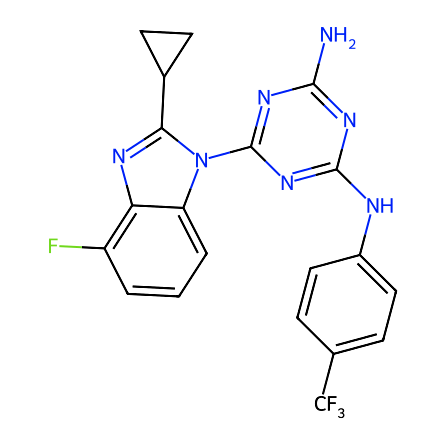 Nc1nc(Nc2ccc(C(F)(F)F)cc2)nc(-n2c(C3CC3)nc3c(F)cccc32)n1